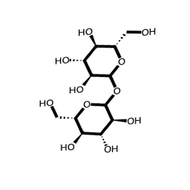 OC[C@@H]1OC(OC2O[C@@H](CO)[C@H](O)[C@@H](O)[C@@H]2O)[C@@H](O)[C@H](O)[C@H]1O